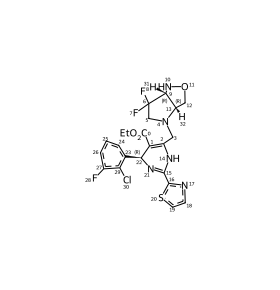 CCOC(=O)C1=C(CN2CC(F)(F)[C@@H]3NOC[C@@H]32)NC(c2nccs2)=N[C@H]1c1cccc(F)c1Cl